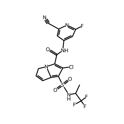 CC(NS(=O)(=O)c1c(Cl)c(C(=O)Nc2cc(F)nc(C#N)c2)n2c1C=CC2)C(F)(F)F